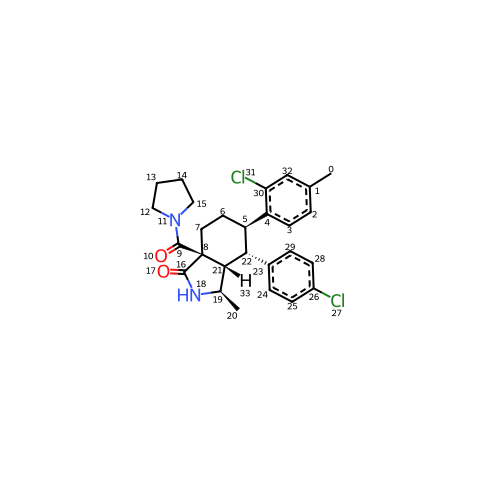 Cc1ccc([C@@H]2CC[C@@]3(C(=O)N4CCCC4)C(=O)N[C@H](C)[C@H]3[C@H]2c2ccc(Cl)cc2)c(Cl)c1